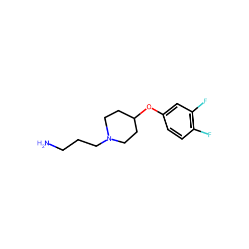 NCCCN1CCC(Oc2ccc(F)c(F)c2)CC1